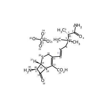 C[C@H](C(N)=O)[N+](C)(C)C/C=C/C1=C(C(=O)O)N2C(=O)[C@@H](N)[C@@H]2SC1.[O-][Cl+3]([O-])([O-])[O-]